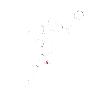 CC[C@H](C)[C@@H]([C@@H](CC(=O)N1CCC[C@H]1[C@H](OC)[C@@H](C)C(=O)N[C@@H](Cc1ccccc1)C(=O)O)OC)N(C)C(=O)[C@@H](NC(=O)[C@@H]1C2CC(C2)N1C(=O)CCCCCN)C(C)C